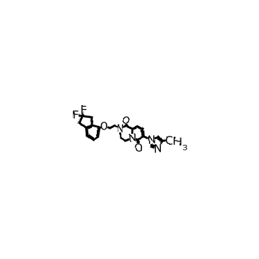 Cc1cn(-c2ccc3n(c2=O)CCN(CCOc2cccc4c2CC(F)(F)C4)C3=O)cn1